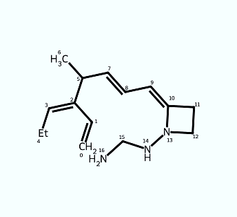 C=C/C(=C\CC)C(C)/C=C/C=C1/CCN1NCN